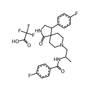 CC(CN1CCC2(CC1)C(=O)NCC2c1ccc(F)cc1)NC(=O)c1ccc(F)cc1.O=C(O)C(F)(F)F